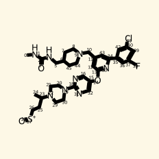 CNC(=O)NCC1CCN(Cc2cc(Oc3cnc(N4CCN(C(C)CC[S+]=O)CC4)nc3)nc(-c3cc(F)cc(Cl)c3)c2)CC1